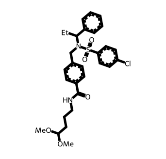 CCC(c1ccccc1)N(Cc1ccc(C(=O)NCCCC(OC)OC)cc1)S(=O)(=O)c1ccc(Cl)cc1